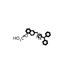 O=C(O)COc1cccc2c1CCC(Cn1cc(C(c3ccccc3)c3ccccc3)nn1)=C2